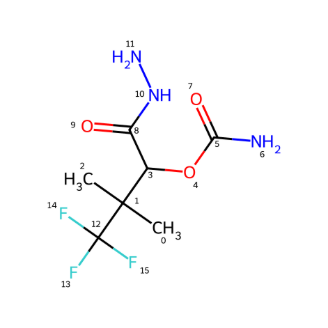 CC(C)(C(OC(N)=O)C(=O)NN)C(F)(F)F